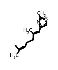 C/C(I)=C/CC/C(C)=C/c1csc(C)n1